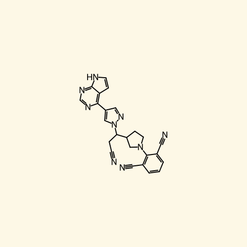 N#CCC(C1CCN(c2c(C#N)cccc2C#N)C1)n1cc(-c2ncnc3[nH]ccc23)cn1